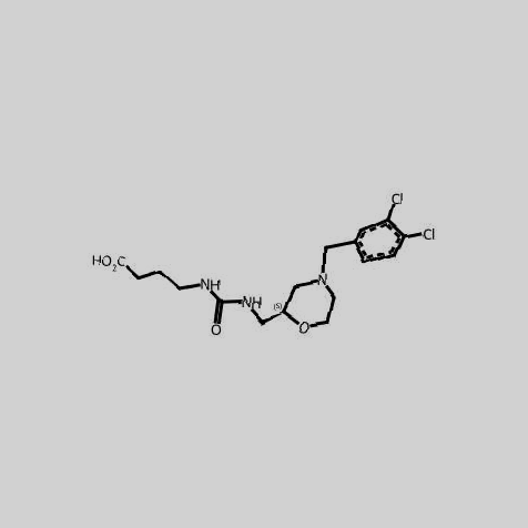 O=C(O)CCCNC(=O)NC[C@H]1CN(Cc2ccc(Cl)c(Cl)c2)CCO1